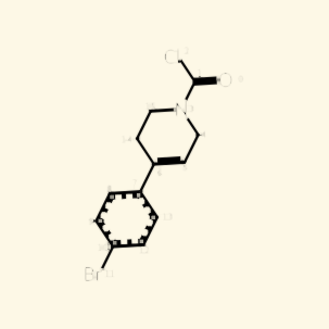 O=C(Cl)N1CC=C(c2ccc(Br)cc2)CC1